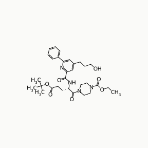 CCOC(=O)N1CCN(C(=O)[C@H](CCC(=O)OC(C)(C)C)NC(=O)c2cc(CCCO)cc(-c3ccccc3)n2)CC1